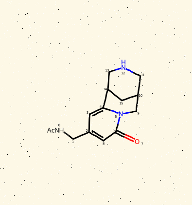 CC(=O)NCc1cc2n(c(=O)c1)CC1CNCC2C1